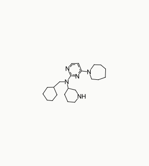 c1cc(N2CCCCCC2)nc(N(CC2CCCCC2)C2CCCNC2)n1